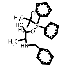 CC(NCc1ccccc1)C(O)O[Si](c1ccccc1)(c1ccccc1)C(C)(C)C